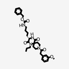 CCCN1C(=O)[C@H](CCCCNC(=O)OCc2ccccc2)NC(=O)C12CCN(C(=O)Cc1cccc(OC)c1)CC2